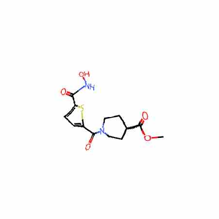 COC(=O)C1CCN(C(=O)c2ccc(C(=O)NO)s2)CC1